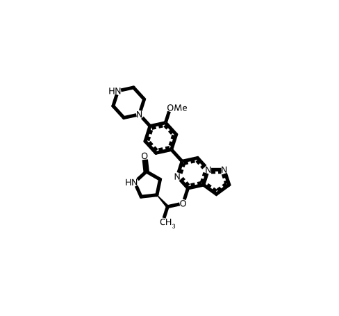 COc1cc(-c2cn3nccc3c(OC(C)[C@H]3CNC(=O)C3)n2)ccc1N1CCNCC1